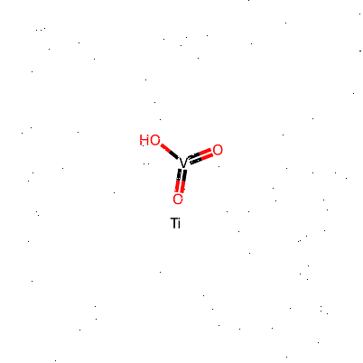 [O]=[V](=[O])[OH].[Ti]